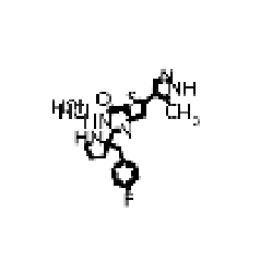 Cc1[nH]ncc1-c1cc2nc(C3(Cc4ccc(F)cc4)CCCN3)[nH]c(=O)c2s1.Cl.Cl